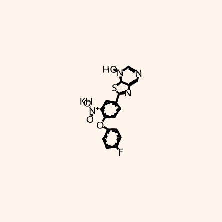 O=[N+]([O-])c1cc(C2=NC3=CN=CN(O)C3S2)ccc1Oc1ccc(F)cc1.[KH]